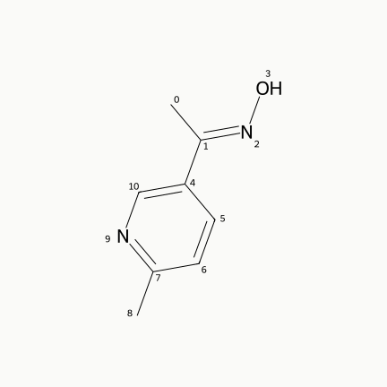 C/C(=N\O)c1ccc(C)nc1